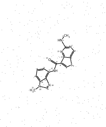 CNc1ncc2scc(C(=O)Nc3cccc4c3ncn4C)c2n1